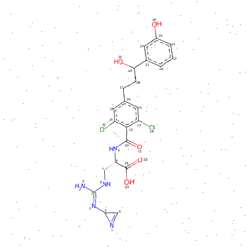 N/C(=N/C1C=N1)NC[C@H](NC(=O)c1c(Cl)cc(CCC(O)c2cccc(O)c2)cc1Cl)C(=O)O